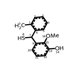 [CH2]c1ccccc1C(S)c1cccc(O)c1OC